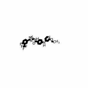 CCOc1cc(Nc2ccc(C(=O)Nc3nc(-c4ccc(F)c(C(F)(F)F)c4)ns3)cc2)ccn1